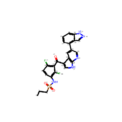 CCCS(=O)(=O)Nc1ccc(F)c(C(=O)c2c[nH]c3ncc(-c4cccc5[nH]ncc45)cc23)c1F